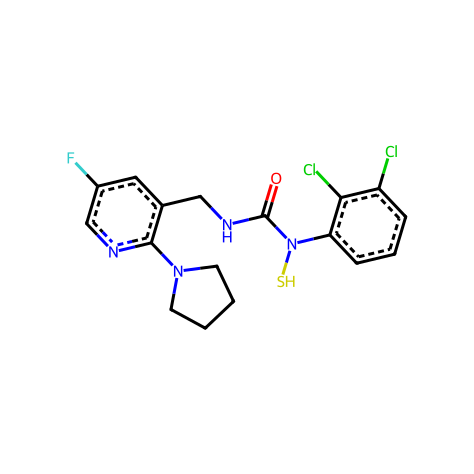 O=C(NCc1cc(F)cnc1N1CCCC1)N(S)c1cccc(Cl)c1Cl